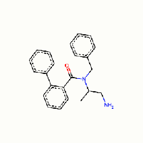 CC(CN)N(Cc1ccccc1)C(=O)c1ccccc1-c1ccccc1